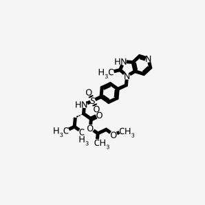 COCC(C)OC(=O)[C@H](CC(C)C)NS(=O)(=O)c1ccc(CN2c3ccncc3NC2C)cc1